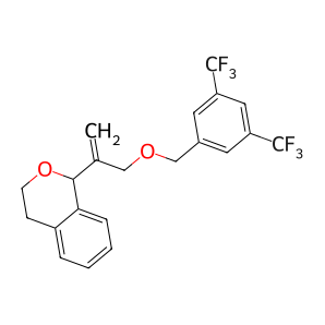 C=C(COCc1cc(C(F)(F)F)cc(C(F)(F)F)c1)C1OCCc2ccccc21